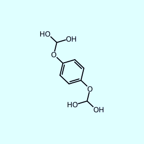 OC(O)Oc1ccc(OC(O)O)cc1